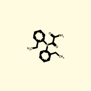 CCc1ccccc1N(C(=O)C(N)=O)c1ccccc1CC